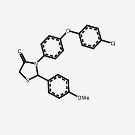 COc1ccc(C2SCC(=O)N2c2ccc(Oc3ccc(Cl)cc3)cc2)cc1